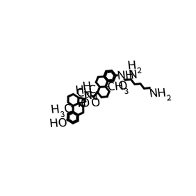 C[C@]1(C(=O)NC(=O)[C@@]2(C)CCC[C@]3(C)c4cc(O)ccc4CC[C@@H]23)CCC[C@]2(C)c3cc(NC(=O)[C@@H](N)CCCCN)ccc3CCC12